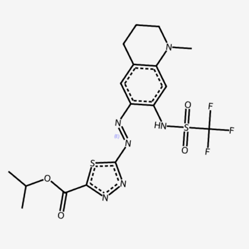 CC(C)OC(=O)c1nnc(/N=N/c2cc3c(cc2NS(=O)(=O)C(F)(F)F)N(C)CCC3)s1